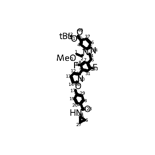 COCCn1c(Cc2cc(F)c(-c3cccc(OCc4ccc(C(=O)NC5CC5)cc4)n3)cc2F)nc2ccc(C(=O)OC(C)(C)C)cc21